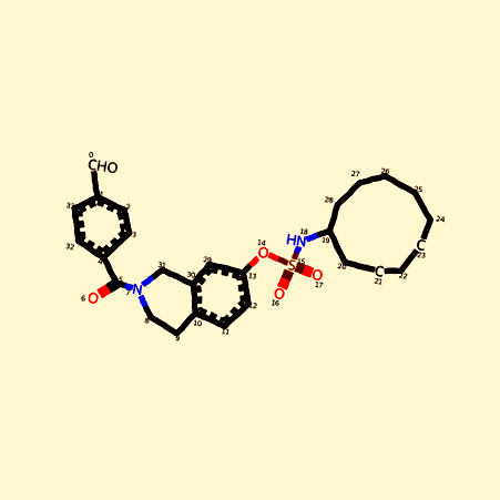 O=Cc1ccc(C(=O)N2CCc3ccc(OS(=O)(=O)NC4CCCCCCCCC4)cc3C2)cc1